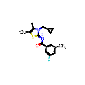 Cc1c(C(C)(C)C)s/c(=N\C(=O)c2cc(F)cc(C(F)(F)F)c2)n1CC1CC1